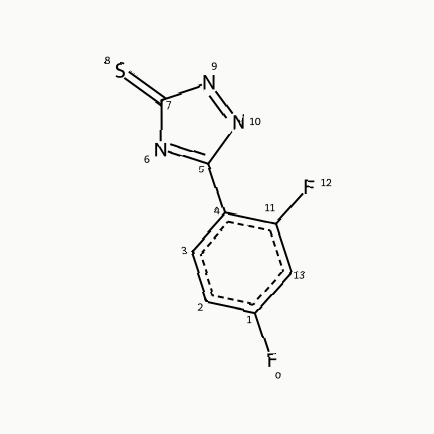 Fc1ccc(C2=NC(=S)N=N2)c(F)c1